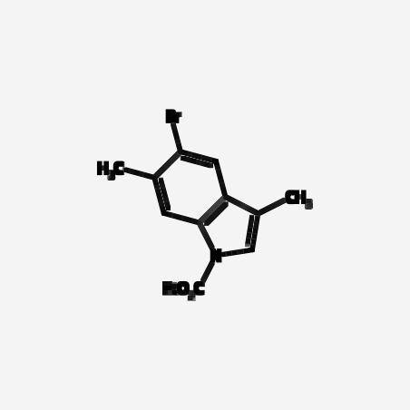 CCOC(=O)n1cc(C)c2cc(Br)c(C)cc21